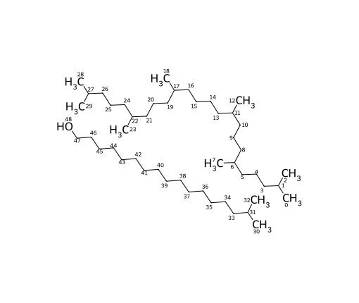 CC(C)CCCC(C)CCCC(C)CCCCC(C)CCCC(C)CCCC(C)C.CC(C)CCCCCCCCCCCCCCCO